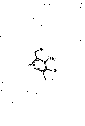 Cc1ncc(CO)c(C=O)c1O.[Mn]